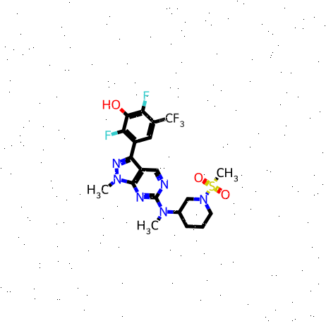 CN(c1ncc2c(-c3cc(C(F)(F)F)c(F)c(O)c3F)nn(C)c2n1)C1CCCN(S(C)(=O)=O)C1